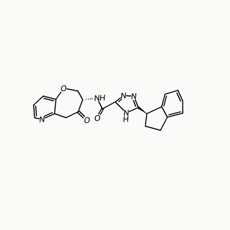 O=C(N[C@H]1COc2cccnc2CC1=O)c1nnc([C@@H]2CCc3ccccc32)[nH]1